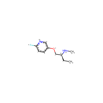 CC[C@@H](COc1ccc(F)nc1)NC